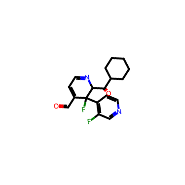 O=CC1=CC=NC(C(=O)C2CCCCC2)C1(F)c1ccncc1F